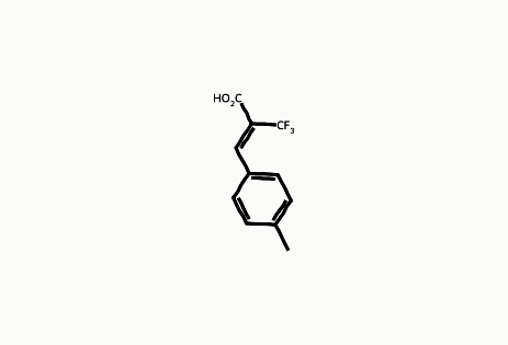 Cc1ccc(/C=C(/C(=O)O)C(F)(F)F)cc1